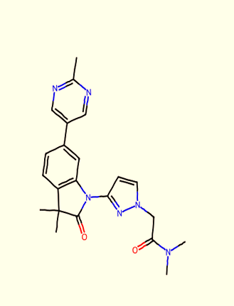 Cc1ncc(-c2ccc3c(c2)N(c2ccn(CC(=O)N(C)C)n2)C(=O)C3(C)C)cn1